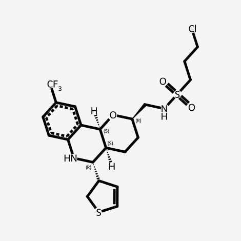 O=S(=O)(CCCCl)NC[C@H]1CC[C@@H]2[C@H](O1)c1cc(C(F)(F)F)ccc1N[C@H]2C1C=CSC1